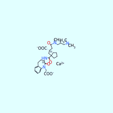 CN(C)CCCN(C)C(=O)C[C@H](CC1(C(=O)N[C@H]2CCc3ccccc3N(CC(=O)[O-])C2=O)CCCC1)C(=O)[O-].[Ca+2]